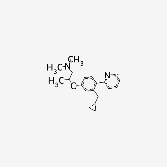 CC(CN(C)C)Oc1ccc(-c2ccc[c]n2)c(CC2CC2)c1